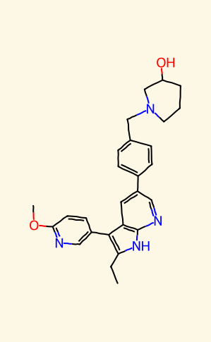 CCc1[nH]c2ncc(-c3ccc(CN4CCCC(O)C4)cc3)cc2c1-c1ccc(OC)nc1